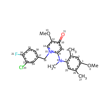 COc1cc(C)c(N(C)c2cc(=O)c(OC)cn2Cc2ccc(F)c(Cl)c2)cc1C